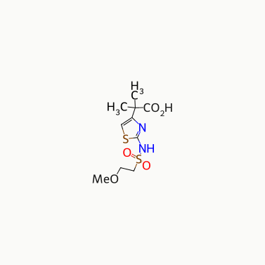 COCCS(=O)(=O)Nc1nc(C(C)(C)C(=O)O)cs1